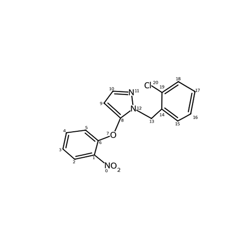 O=[N+]([O-])c1ccccc1Oc1ccnn1Cc1ccccc1Cl